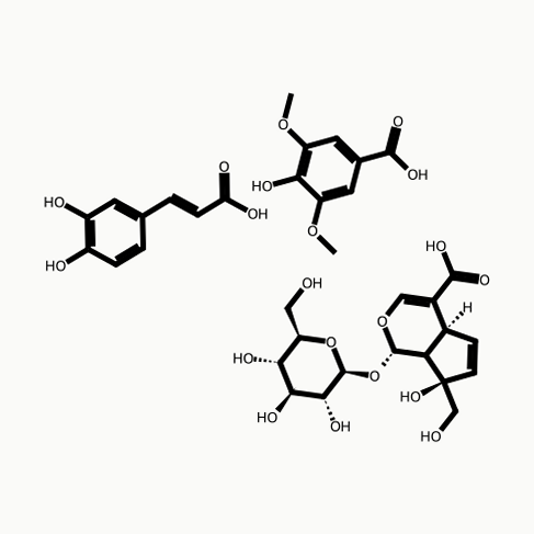 COc1cc(C(=O)O)cc(OC)c1O.O=C(O)/C=C/c1ccc(O)c(O)c1.O=C(O)C1=CO[C@@H](O[C@@H]2O[C@H](CO)[C@@H](O)[C@H](O)[C@H]2O)C2[C@@H]1C=C[C@]2(O)CO